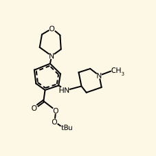 CN1CCC(Nc2cc(N3CCOCC3)ccc2C(=O)OOC(C)(C)C)CC1